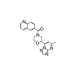 Cc1cc(C2CN(C(=O)c3ccc4ncccc4c3)CCO2)n2ncnc2n1